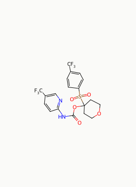 O=C(Nc1ccc(C(F)(F)F)cn1)OC1(S(=O)(=O)c2ccc(C(F)(F)F)cc2)CCOCC1